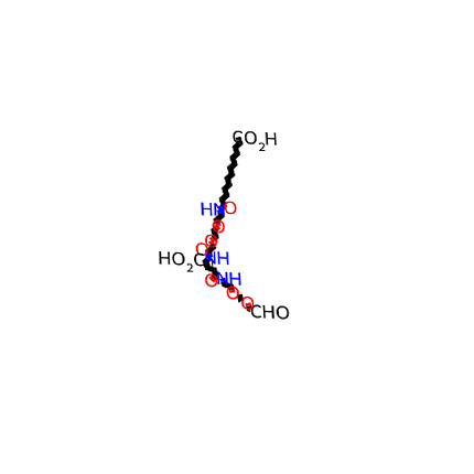 O=[C]COCCOCCNC(=O)CC[C@H](NC(=O)COCCOCCNC(=O)CCCCCCCCCCCCC(=O)O)C(=O)O